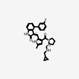 Cc1cc(C(=O)N2CCC[C@H]2CNCC2CC2)c(/C=C2\C(=O)Nc3cccc(-c4cccc(F)c4)c32)[nH]1